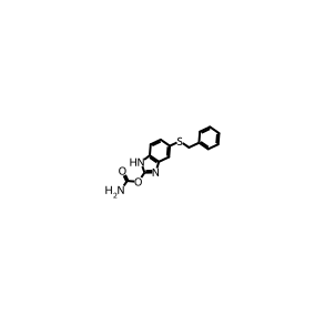 NC(=O)Oc1nc2cc(SCc3ccccc3)ccc2[nH]1